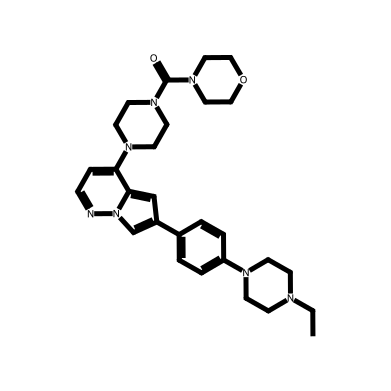 CCN1CCN(c2ccc(-c3cc4c(N5CCN(C(=O)N6CCOCC6)CC5)ccnn4c3)cc2)CC1